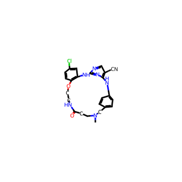 CN1CCC(=O)NCCOc2ccc(Cl)cc2Nc2ncc(C#N)c(n2)Nc2ccc(cc2)C1